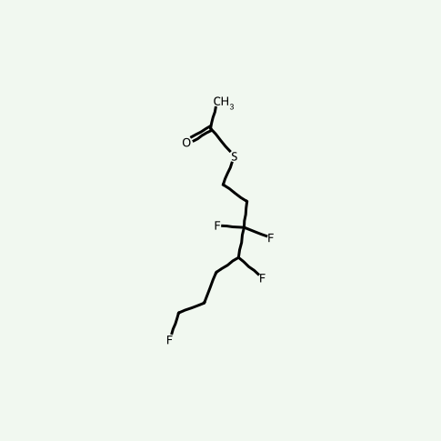 CC(=O)SCCC(F)(F)C(F)CCCF